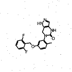 Cc1ccc(OCc2c(F)cccc2F)cc1N1Cc2[nH]ncc2NC1=O